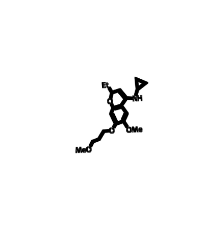 CCC1C=C(NC2CC2)c2cc(OC)c(OCCCOC)cc2O1